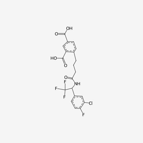 O=C(CCCc1ccc(C(=O)O)cc1C(=O)O)NC(c1ccc(F)c(Cl)c1)C(F)(F)F